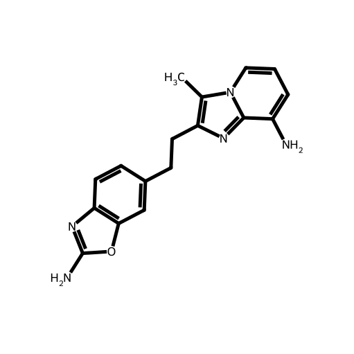 Cc1c(CCc2ccc3nc(N)oc3c2)nc2c(N)cccn12